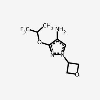 CC(Oc1nn(C2COC2)cc1N)C(F)(F)F